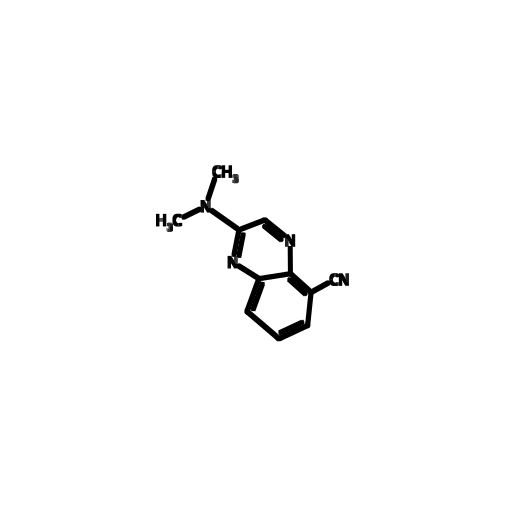 CN(C)c1cnc2c(C#N)cccc2n1